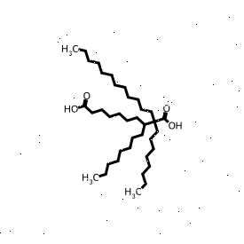 CCCCCCCCCCCCC(CCCCCCCC)(C(=O)O)C(CCCCCCCC)CCCCCCC(=O)O